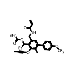 C=CC(=O)NCc1cc(-c2ccc(OC(F)(F)F)cc2)c(C)c(OC#CC)c1C(CC)OC(=O)CCC